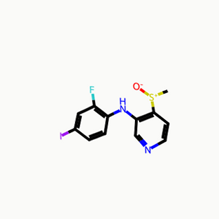 C[S+]([O-])c1ccncc1Nc1ccc(I)cc1F